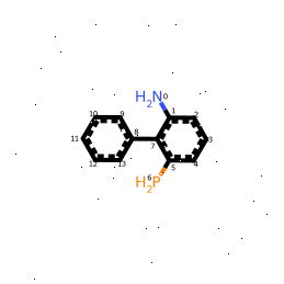 Nc1cccc(P)c1-c1ccccc1